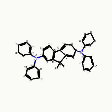 CC1(C)C2=CC(N(C3=CCCC=C3)c3ccccc3)CC=C2c2ccc(N(C3=CC=CCC3)c3ccccc3)cc21